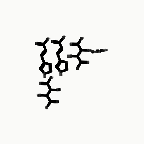 O=C([O-])C(O)C(O)C(=O)[O-].O=C([O-])C(O)C(O)C(=O)[O-].O=C([O-])C=Cc1c[nH]cn1.O=C([O-])C=Cc1c[nH]cn1.[Mn+2].[Mn+2].[Mn+2]